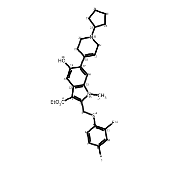 CCOC(=O)c1c(CSc2ccc(F)cc2F)n(C)c2cc(C3=CCN(C4CCCC4)CC3)c(O)cc12